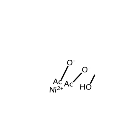 CC(=O)[O-].CC(=O)[O-].CO.[Ni+2]